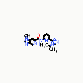 CC(C)n1cnnc1-c1cccc(NC(=O)c2cc3c(cn2)ncn3C)n1